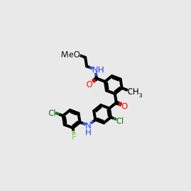 COCCNC(=O)c1ccc(C)c(C(=O)c2ccc(Nc3ccc(Cl)cc3F)cc2Cl)c1